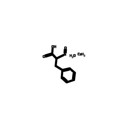 O.O=NC(Cc1ccccc1)C(=O)O.[CaH2]